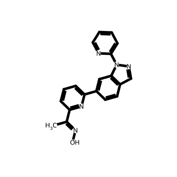 CC(=NO)c1cccc(-c2ccc3cnn(-c4ccccn4)c3c2)n1